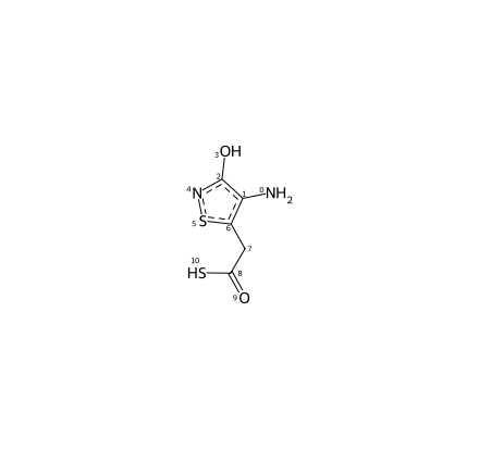 Nc1c(O)nsc1CC(=O)S